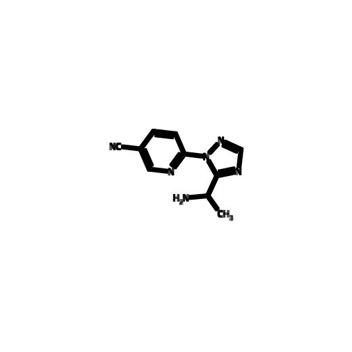 CC(N)c1ncnn1-c1ccc(C#N)cn1